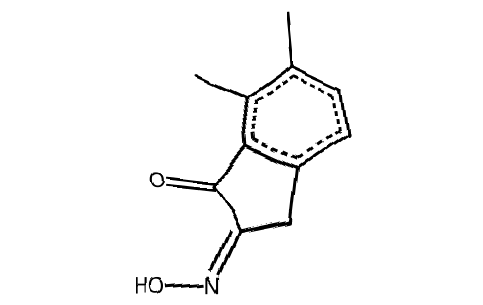 Cc1ccc2c(c1C)C(=O)C(=NO)C2